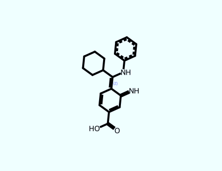 N=C1C=C(C(=O)O)C=C/C1=C(/Nc1ccccc1)C1CCCCC1